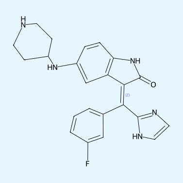 O=C1Nc2ccc(NC3CCNCC3)cc2/C1=C(\c1cccc(F)c1)c1ncc[nH]1